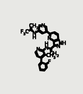 C=C(Nc1nccc(-c2ccccc2F)c1C)c1n[nH]c2ccc(-c3cncc(NC(=C)C(F)(F)F)c3)nc12